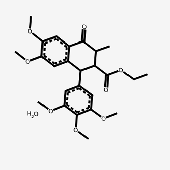 CCOC(=O)C1C(C)C(=O)c2cc(OC)c(OC)cc2C1c1cc(OC)c(OC)c(OC)c1.O